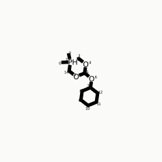 C[PH]1(C)COC(OC2CCCCC2)OC1